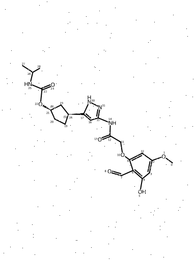 COc1cc(O)c(C=O)c(OCC(=O)Nc2cc([C@H]3CC[C@@H](OC(=O)NC(C)C)C3)[nH]n2)c1